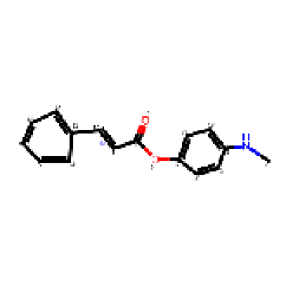 CNc1ccc(OC(=O)/C=C/c2ccccc2)cc1